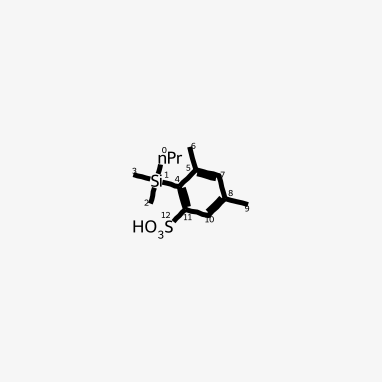 CCC[Si](C)(C)c1c(C)cc(C)cc1S(=O)(=O)O